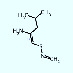 C=NS/C=C(/N)CC(C)C